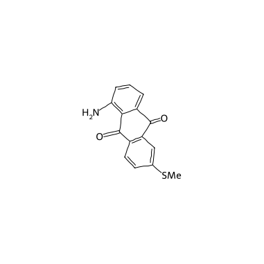 CSc1ccc2c(c1)C(=O)c1cccc(N)c1C2=O